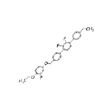 CCOc1ccc(OCc2ccc(-c3ccc(-c4ccc(CC)cc4)c(F)c3F)cc2)cc1F